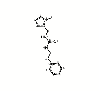 Cn1cccc1CNC(=S)NCCc1ccccc1